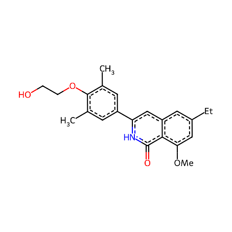 CCc1cc(OC)c2c(=O)[nH]c(-c3cc(C)c(OCCO)c(C)c3)cc2c1